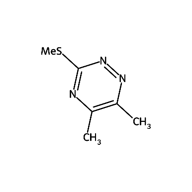 CSc1nnc(C)c(C)n1